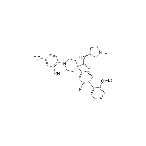 CCOc1ncccc1-c1ncc(C2(C(=O)N[C@H]3CCN(C)C3)CCN(c3ccc(C(F)(F)F)cc3C#N)CC2)cc1F